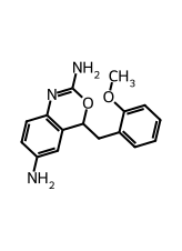 COc1ccccc1CC1OC(N)=Nc2ccc(N)cc21